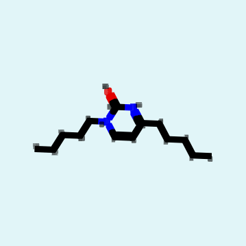 CCCCCc1ccn(CCCCC)c(=O)n1